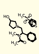 CC(=O)N(C)C(CN1CCC(O)C1)c1ccccc1.CS(=O)(=O)n1c2ccc1s2